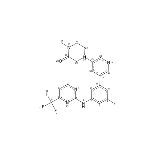 Cc1cc(Nc2nccc(C(F)(F)F)n2)cc(-c2cncc(N3CCN(C)C(=O)C3)c2)c1